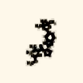 COC(=O)N[C@H](C(=O)N1CCC[C@H]1c1nc2ccc(B3OC(C)(C)C(C)(C)O3)cc2[nH]1)C(C)C